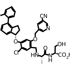 C[C@H](NCc1cc(Cl)c(O[C@H]2CCc3c(-c4ccccc4F)cccc32)cc1OCc1cncc(C#N)c1)C(=O)N[C@@H](CO)C(=O)O